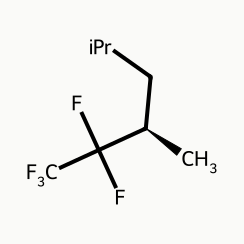 CC(C)C[C@@H](C)C(F)(F)C(F)(F)F